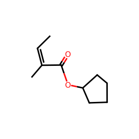 C/C=C(/C)C(=O)OC1CCCC1